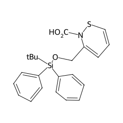 CC(C)(C)[Si](OCC1=CC=CSN1C(=O)O)(c1ccccc1)c1ccccc1